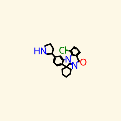 O=c1nc2n(c3c(Cl)cccc13)-c1cc(C3CCCNC3)ccc1C21CCCCC1